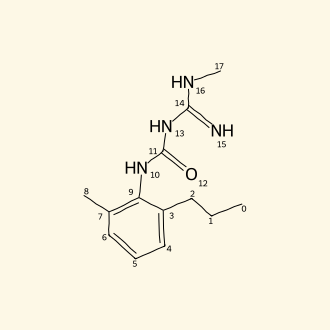 CCCc1cccc(C)c1NC(=O)NC(=N)NC